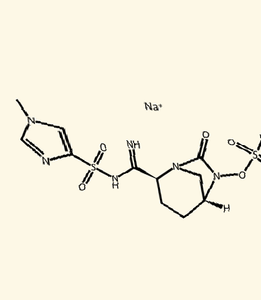 Cn1cnc(S(=O)(=O)NC(=N)[C@@H]2CC[C@@H]3CN2C(=O)N3OS(=O)(=O)[O-])c1.[Na+]